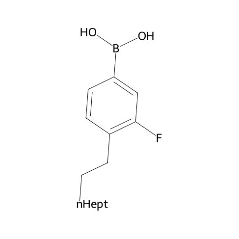 CCCCCCCCCc1ccc(B(O)O)cc1F